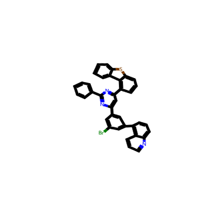 Brc1cc(-c2cc(-c3cccc4sc5ccccc5c34)nc(-c3ccccc3)n2)cc(-c2cccc3ncccc23)c1